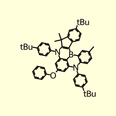 Cc1ccc2c(c1)B1C3=C(N(c4ccc(C(C)(C)C)cc4)c4cc(Oc5ccccc5)cc(c41)N2c1ccc(C(C)(C)C)cc1)C(C)(C)c1cc(C(C)(C)C)ccc13